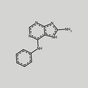 Nc1nc2ncnc(Nc3ccccc3)c2[nH]1